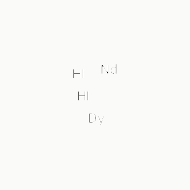 I.I.[Dy].[Nd]